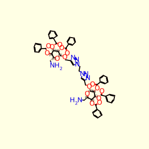 NC[C@H]1O[C@H](OCc2cn(CCn3cc(CO[C@H]4O[C@H](CN)[C@@H](OC(=O)c5ccccc5)[C@H](OC(=O)c5ccccc5)[C@@H]4OC(=O)c4ccccc4)nn3)nn2)[C@@H](OC(=O)c2ccccc2)[C@@H](OC(=O)c2ccccc2)[C@@H]1OC(=O)c1ccccc1